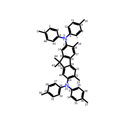 Cc1ccc(N(c2ccc(C)cc2)c2cc3c(cc2C)-c2cc(C)c(N(c4ccc(C)cc4)c4ccc(C)cc4)cc2C3(C)C)cc1